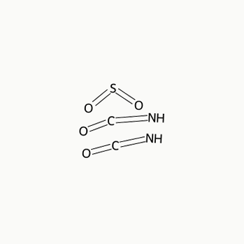 N=C=O.N=C=O.O=S=O